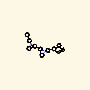 c1ccc(-c2ccc(-n3c4ccccc4c4cc(-c5ccc6c(c5)c5ccccc5n6-c5ccc(-c6ccc7c(c6)C6CCC8CC(C6)CC8c6ccccc6-7)cc5)ccc43)cc2)cc1